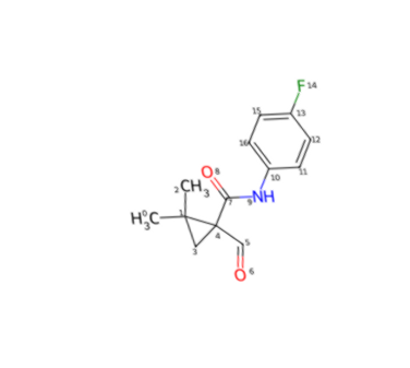 CC1(C)CC1(C=O)C(=O)Nc1ccc(F)cc1